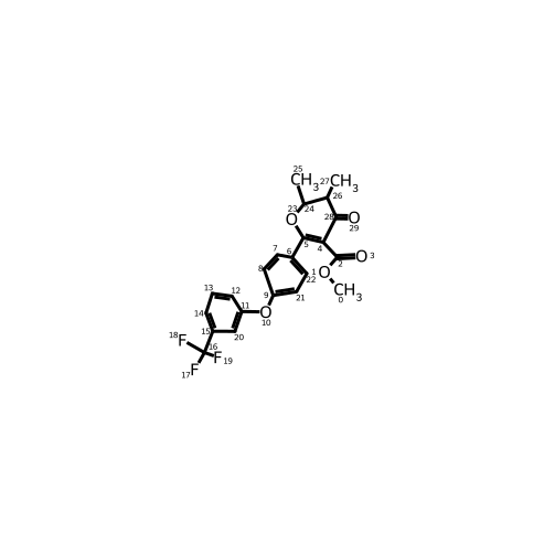 COC(=O)C1=C(c2ccc(Oc3cccc(C(F)(F)F)c3)cc2)OC(C)C(C)C1=O